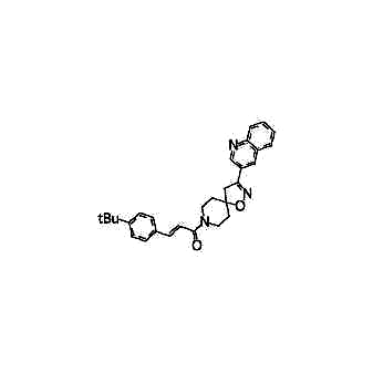 CC(C)(C)c1ccc(C=CC(=O)N2CCC3(CC2)CC(c2cnc4ccccc4c2)=NO3)cc1